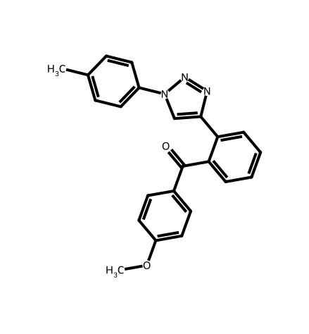 COc1ccc(C(=O)c2ccccc2-c2cn(-c3ccc(C)cc3)nn2)cc1